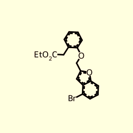 CCOC(=O)Cc1ccccc1OCc1cc2c(Br)cccc2o1